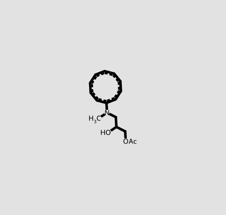 CC(=O)OCC(O)CN(C)c1ccccccccc1